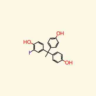 CC(c1ccc(O)cc1)(c1ccc(O)cc1)c1ccc(O)c(I)c1